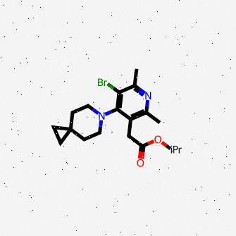 Cc1nc(C)c(CC(=O)OC(C)C)c(N2CCC3(CC2)CC3)c1Br